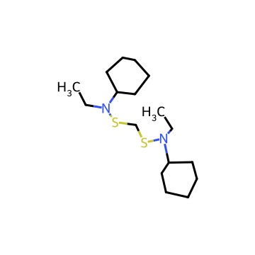 CCN(SCSN(CC)C1CCCCC1)C1CCCCC1